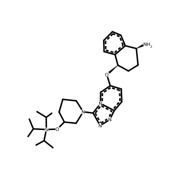 CC(C)[Si](OC1CCCN(c2nnc3ccc(O[C@@H]4CC[C@H](N)c5ccccc54)cn23)C1)(C(C)C)C(C)C